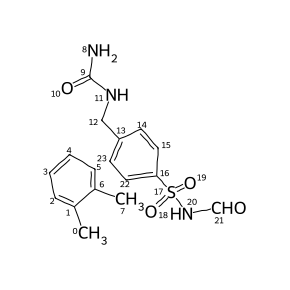 Cc1ccccc1C.NC(=O)NCc1ccc(S(=O)(=O)NC=O)cc1